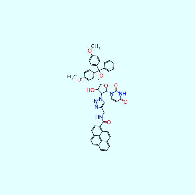 COc1ccc(C(OC[C@@H]2O[C@H](n3ccc(=O)[nH]c3=O)C(n3cc(CNC(=O)c4ccc5ccc6cccc7ccc4c5c67)nn3)C2O)(c2ccccc2)c2ccc(OC)cc2)cc1